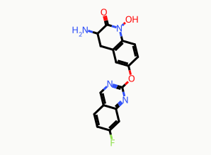 NC1Cc2cc(Oc3ncc4ccc(F)cc4n3)ccc2N(O)C1=O